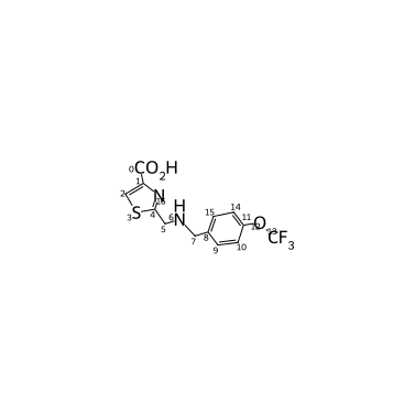 O=C(O)c1csc(CNCc2ccc(OC(F)(F)F)cc2)n1